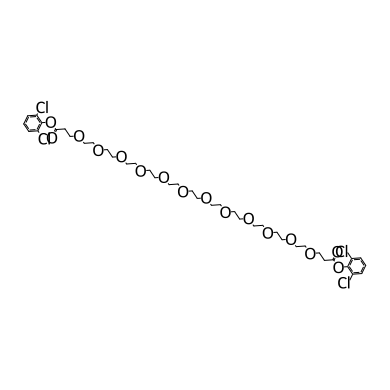 O=C(CCOCCOCCOCCOCCOCCOCCOCCOCCOCCOCCOCCOCCC(=O)Oc1c(Cl)cccc1Cl)Oc1c(Cl)cccc1Cl